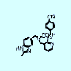 Cc1nc2cc(CN(Cc3cccnc3CCc3ccc(C#N)cc3)C(=O)O)ccc2[nH]1